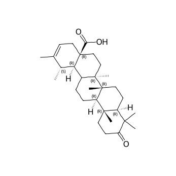 CC1=CC[C@]2(C(=O)O)CC[C@]3(C)C(CC[C@@H]4[C@@]5(C)CCC(=O)C(C)(C)[C@@H]5CC[C@]43C)[C@H]2[C@@H]1C